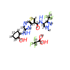 Cn1cc(NC(=O)c2csc3ncc(N[C@@H]4CCCC[C@@H]4O)nc23)c(C(F)(F)F)n1.O=C(O)C(F)(F)F